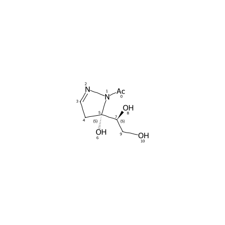 CC(=O)N1N=CC[C@]1(O)[C@@H](O)CO